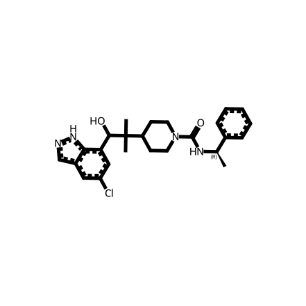 C[C@@H](NC(=O)N1CCC(C(C)(C)C(O)c2cc(Cl)cc3cn[nH]c23)CC1)c1ccccc1